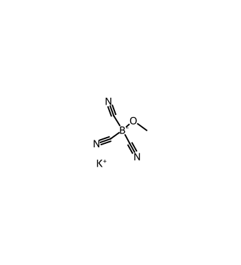 CO[B-](C#N)(C#N)C#N.[K+]